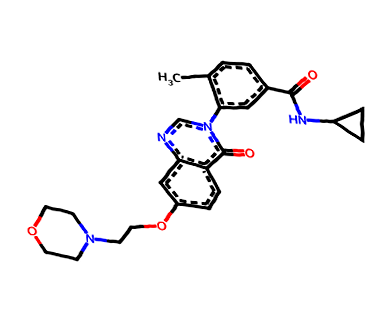 Cc1ccc(C(=O)NC2CC2)cc1-n1cnc2cc(OCCN3CCOCC3)ccc2c1=O